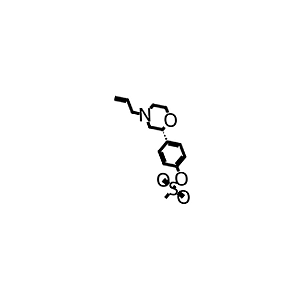 C=CCN1CCO[C@H](c2ccc(OS(C)(=O)=O)cc2)C1